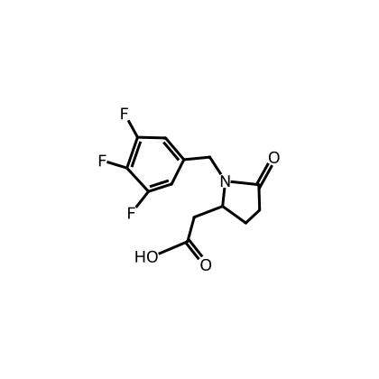 O=C(O)CC1CCC(=O)N1Cc1cc(F)c(F)c(F)c1